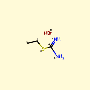 Br.CCSC(=N)N